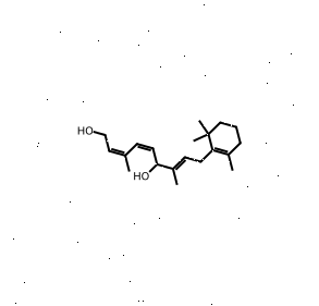 CC1=C(C/C=C(\C)C(O)/C=C\C(C)=C/CO)C(C)(C)CCC1